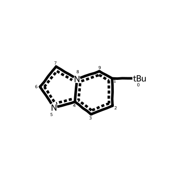 CC(C)(C)c1ccc2nccn2c1